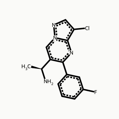 C[C@H](N)c1cn2ncc(Cl)c2nc1-c1cccc(F)c1